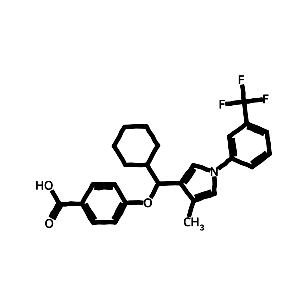 Cc1cn(-c2cccc(C(F)(F)F)c2)cc1C(Oc1ccc(C(=O)O)cc1)C1CCCCC1